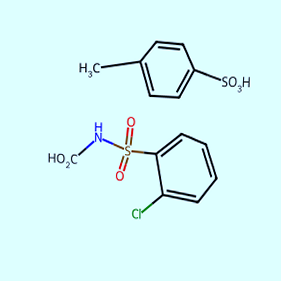 Cc1ccc(S(=O)(=O)O)cc1.O=C(O)NS(=O)(=O)c1ccccc1Cl